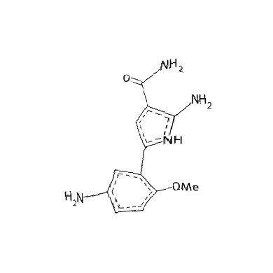 COc1ccc(N)cc1-c1cc(C(N)=O)c(N)[nH]1